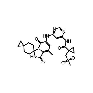 Cc1cc(Nc2cc(NC(=O)C3(CS(C)(=O)=O)CC3)ncn2)c(=O)n2c1C(=O)NC21CCC2(CC2)CC1